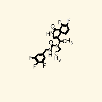 CCN(C(=O)NCc1cc(F)c(F)c(F)c1)C(C)c1c[nH]c(=O)c2c(F)c(F)ccc12